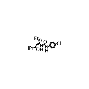 CCO/C(=C/C(=O)C(C)C)NC(=O)Nc1ccc(Cl)cc1